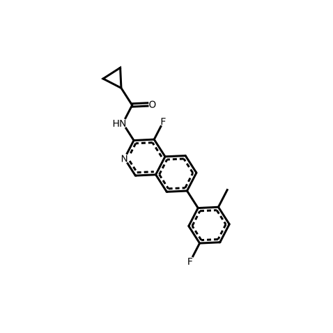 Cc1ccc(F)cc1-c1ccc2c(F)c(NC(=O)C3CC3)ncc2c1